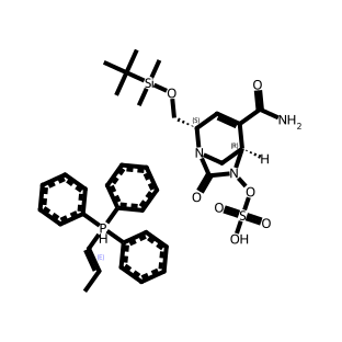 C/C=C/[PH](c1ccccc1)(c1ccccc1)c1ccccc1.CC(C)(C)[Si](C)(C)OC[C@@H]1C=C(C(N)=O)[C@@H]2CN1C(=O)N2OS(=O)(=O)O